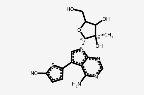 C[C@@]1(O)C(O)C(CO)O[C@H]1n1cc(-c2ccc(C#N)s2)c2c(N)ncnc21